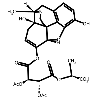 CC(=O)O[C@@H](C(=O)OC1=CC[C@]2(O)[C@@H]3Cc4ccc(O)c5c4[C@]2(CCN3C)[C@@H]1O5)[C@@H](OC(C)=O)C(=O)O[C@@H](C)C(=O)O